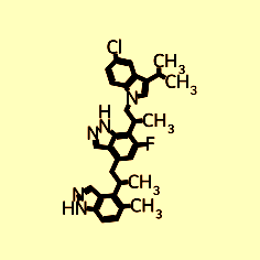 Cc1ccc2[nH]ncc2c1C(C)Cc1cc(F)c(C(C)Cn2cc(C(C)C)c3cc(Cl)ccc32)c2[nH]ncc12